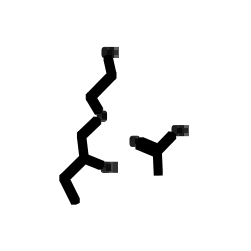 CC(=O)O.CCC(O)COCCO